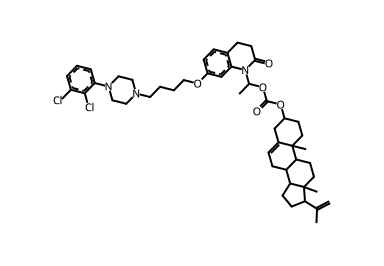 C=C(C)C1CCC2C3CC=C4CC(OC(=O)OC(C)N5C(=O)CCc6ccc(OCCCCN7CCN(c8cccc(Cl)c8Cl)CC7)cc65)CCC4(C)C3CCC12C